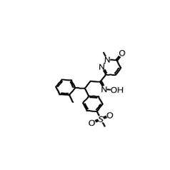 Cc1ccccc1C(CC(=NO)c1ccc(=O)n(C)n1)c1ccc(S(C)(=O)=O)cc1